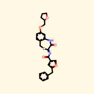 O=C1Nc2cc(OCC3CCCO3)ccc2CC/C1=N\C(=O)c1coc(Cc2ccccc2)c1